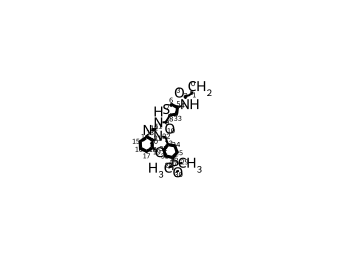 C=CC(=O)Nc1csc(C(=O)Nc2nc3cccc(Cl)c3n2Cc2ccc(P(C)(C)=O)cc2)c1